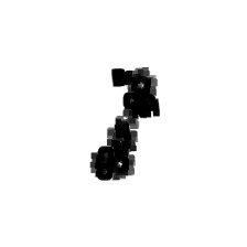 O=S(=O)(NCCCN1CCN(c2cccc3c2OCCO3)CC1)c1cccc(Br)c1